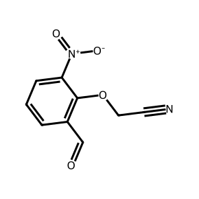 N#CCOc1c(C=O)cccc1[N+](=O)[O-]